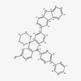 Fc1ccc2c(c1)C1(CCCCC1)c1cc(-c3ccc4oc5ccccc5c4c3)ccc1N2c1ccc(-c2ccccc2)cc1